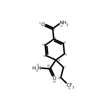 NC(=O)C1=CCC(CCC(F)(F)F)(C(N)=O)C=C1